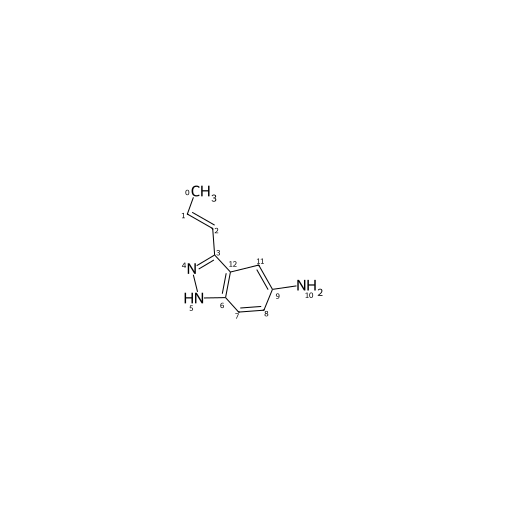 C/C=C/c1n[nH]c2ccc(N)cc12